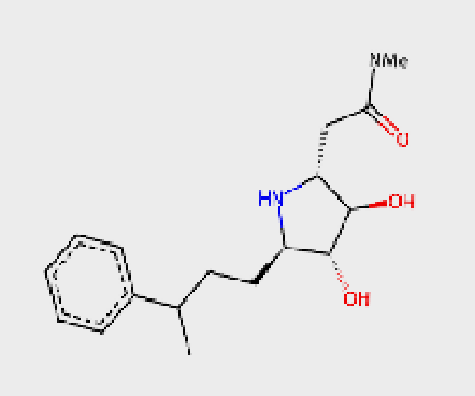 CNC(=O)C[C@H]1N[C@H](CCC(C)c2ccccc2)[C@@H](O)[C@@H]1O